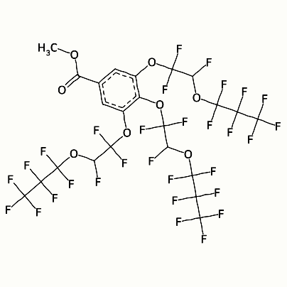 COC(=O)c1cc(OC(F)(F)C(F)OC(F)(F)C(F)(F)C(F)(F)F)c(OC(F)(F)C(F)OC(F)(F)C(F)(F)C(F)(F)F)c(OC(F)(F)C(F)OC(F)(F)C(F)(F)C(F)(F)F)c1